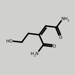 NC(=O)C=C(CCO)C(N)=O